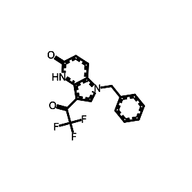 O=C(c1cn(Cc2ccccc2)c2ccc(=O)[nH]c12)C(F)(F)F